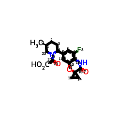 C[C@H]1CCC(c2cc(F)c3c(c2)OC2(CC2)C(=O)N3)N(C(=O)C(=O)O)C1